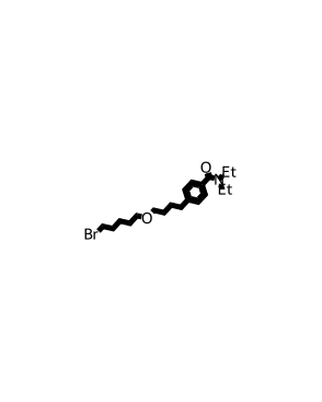 CCN(CC)C(=O)c1ccc(CCCCOCCCCCBr)cc1